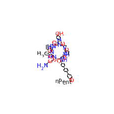 CCCCCOc1ccc(-c2ccc(-c3ccc(C(=O)N[C@H]4CCC(OCCOCCN)NC(=O)C5C[C@@H](C)CN5C(=O)C(CC)NC(=O)C(CCc5ccc(O)cc5)NC(=O)C5CCCN5C(=O)C(CC)NC4=O)cc3)cc2)cc1